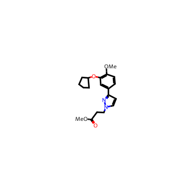 COC(=O)CCn1ccc(-c2ccc(OC)c(OC3CCCC3)c2)n1